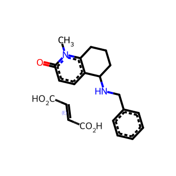 Cn1c2c(ccc1=O)C(NCc1ccccc1)CCC2.O=C(O)/C=C/C(=O)O